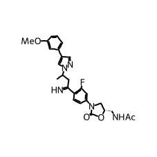 COc1cccc(-c2cnn(C(C)CC(=N)c3ccc(N4C[C@H](CNC(C)=O)OC4=O)cc3F)c2)c1